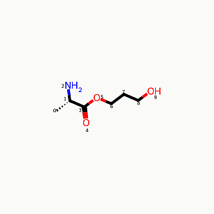 C[C@H](N)C(=O)OCCCO